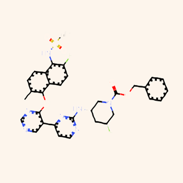 CCCS(=O)(=O)Nc1c(F)ccc2c(Oc3ncncc3-c3ccnc(N[C@H]4C[C@H](F)CN(C(=O)OCc5ccccc5)C4)n3)c(C)ccc12